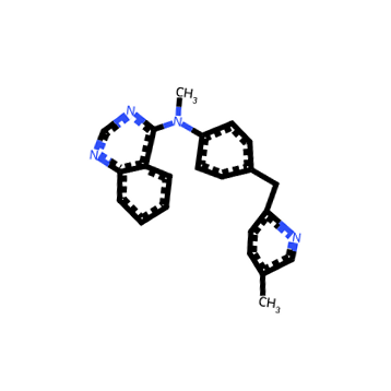 Cc1ccc(Cc2ccc(N(C)c3ncnc4ccccc34)cc2)nc1